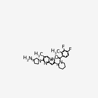 Cc1cn2nc([C@@H]3CCCCN3C(=O)c3ccc(F)c(F)c3C)cc2nc1N1CC[C@H](N)C1